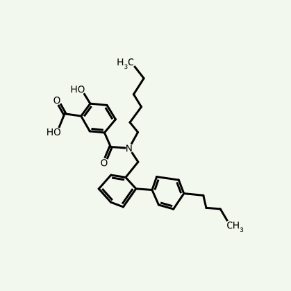 CCCCCCN(Cc1ccccc1-c1ccc(CCCC)cc1)C(=O)c1ccc(O)c(C(=O)O)c1